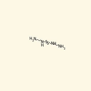 NCCCCNCCSSCCNCCCCN